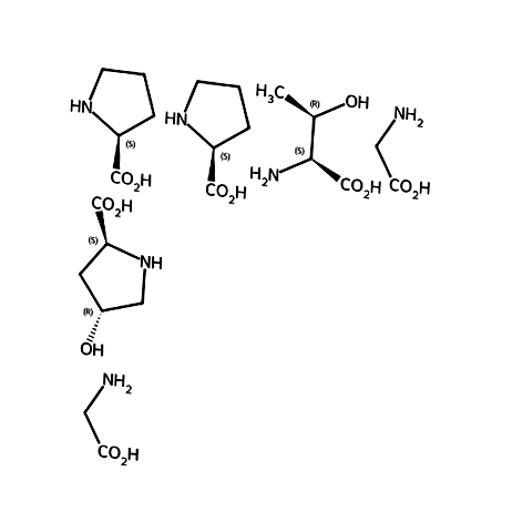 C[C@@H](O)[C@H](N)C(=O)O.NCC(=O)O.NCC(=O)O.O=C(O)[C@@H]1CCCN1.O=C(O)[C@@H]1CCCN1.O=C(O)[C@@H]1C[C@@H](O)CN1